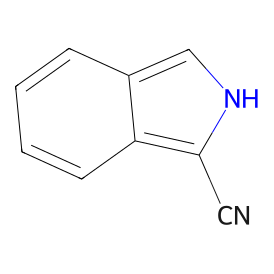 N#Cc1[nH]cc2ccccc12